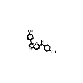 N#Cc1ccc(-c2cnc3ccc(NC4CCC(O)CC4)nn23)cc1